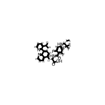 CC[C@@H](Nc1cc(F)c(C(=O)N[C@@H](Cc2ccc(-c3ncccc3C(C)C)c3ncccc23)C(=O)O)c(F)c1)C(F)(F)F